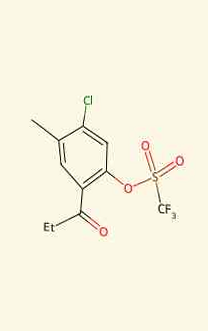 CCC(=O)c1cc(C)c(Cl)cc1OS(=O)(=O)C(F)(F)F